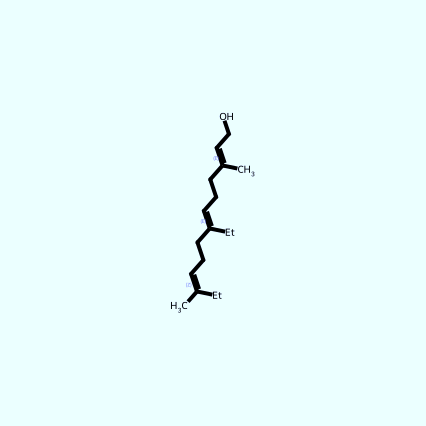 CC/C(C)=C\CC/C(=C/CC/C(C)=C/CO)CC